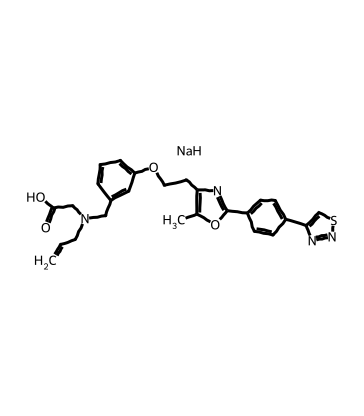 C=CCN(CC(=O)O)Cc1cccc(OCCc2nc(-c3ccc(-c4csnn4)cc3)oc2C)c1.[NaH]